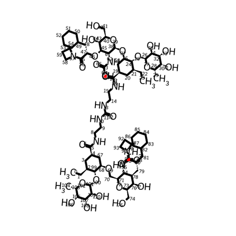 CC[C@H]1C[C@@H](C(=O)NCCNC(=O)NCCNC(=O)[C@@H]2C[C@H](CC)[C@@H](O[C@@H]3O[C@@H](C)[C@@H](O)[C@@H](O)[C@@H]3O)[C@H](O[C@@H]3O[C@H](CO)[C@H](O)[C@H](O[C@@H](CC4CCCCC4)C(=O)N4CCC4)[C@H]3NC(C)=O)C2)C[C@@H](OC[C@@H]2O[C@H](CO)[C@H](O)[C@H](C[C@@H](CC3CCCCC3)C(=O)N3CCC3)[C@H]2NC(C)=O)[C@@H]1O[C@@H]1O[C@@H](C)[C@@H](O)[C@@H](O)[C@@H]1O